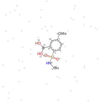 COc1ccc(S(=O)(=O)NC(C)(C)C)c(B(O)O)c1